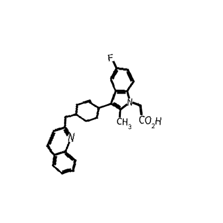 Cc1c(C2CCC(Cc3ccc4ccccc4n3)CC2)c2cc(F)ccc2n1CC(=O)O